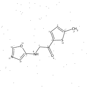 Cc1ccc(C(=O)CNc2cnco2)s1